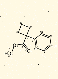 COC(=O)C1(c2ccccc2)CCC1